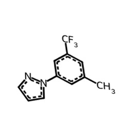 Cc1cc(-n2cccn2)cc(C(F)(F)F)c1